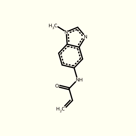 C=CC(=O)Nc1ccc2c(c1)ncn2C